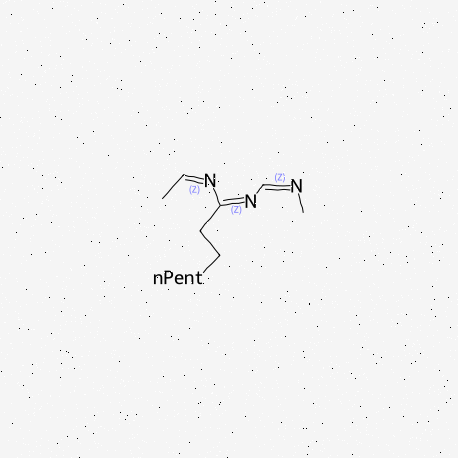 C\C=N/C(CCCCCCC)=N\C=N/C